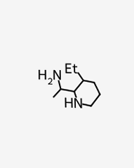 CCC1CCCNC1C(C)N